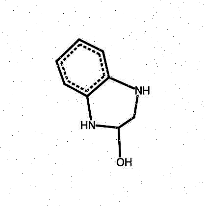 OC1CNc2ccccc2N1